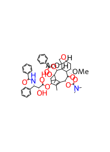 CO[C@H]1C[C@H]2OC[C@@]2(OC(C)=O)[C@H]2[C@H](OC(=O)c3ccccc3)[C@]3(O)C[C@H](OC(=O)[C@H](O)[C@@H](NC(=O)c4ccccc4)c4ccccc4)C(C)=C([C@@H](OC(=O)N(C)C)C(=O)[C@]12C)C3(C)C